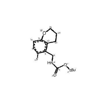 CC(C)(C)OC(=O)NCc1c(F)ccc2c1CCCO2